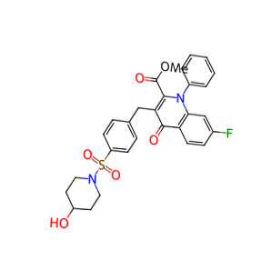 COC(=O)c1c(Cc2ccc(S(=O)(=O)N3CCC(O)CC3)cc2)c(=O)c2ccc(F)cc2n1-c1ccccc1